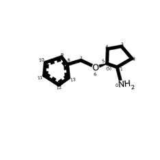 NC1CCC[C@@H]1OCc1ccccc1